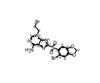 Nc1ncn(CCBr)c2nc(S(=O)(=O)c3cc4c(cc3Br)OCO4)nc1-2